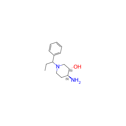 CCC(c1ccccc1)N1CC[C@H](N)[C@@H](O)C1